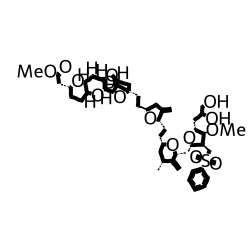 C=C1C[C@H](CC[C@@]23C[C@H]4O[C@H]5[C@@H](O2)[C@H]2O[C@@H](CC(=O)OC)CC[C@@H]2O[C@H]5[C@H]4O3)O[C@H]1CC[C@H]1C[C@@H](C)C(=C)[C@@H](C[C@@H]2O[C@H](CC(O)CO)[C@H](OC)[C@H]2CS(=O)(=O)c2ccccc2)O1